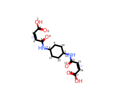 O=C(O)/C=C\C(=O)NC1CCC(NC(=O)/C=C\C(=O)O)CC1